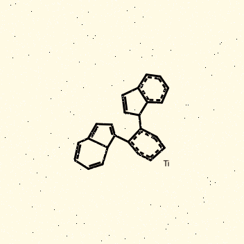 C1=CC2=CC=C(c3ccccc3C3C=Cc4ccccc43)C2C=C1.[Ti]